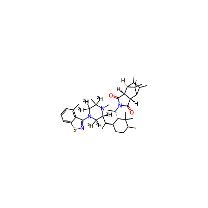 [2H]C1([2H])N(c2nsc3cccc(C)c23)C([2H])([2H])[C@@]([2H])(C(C)[C@@H]2CCC(C)C(C)(C)[C@H]2C(C)N2C(=O)[C@@H]3[C@H]4C(C)C(C)C([C@@H]3C2=O)C4(C)C)N(C)C1([2H])C